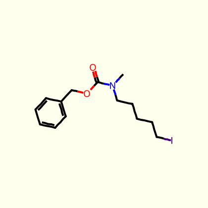 CN(CCCCCI)C(=O)OCc1ccccc1